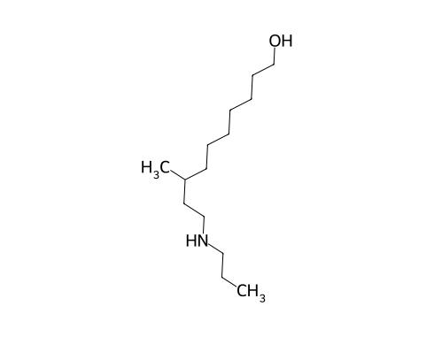 CCCNCCC(C)CCCCCCCO